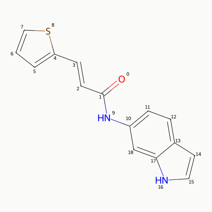 O=C(/C=C/c1cccs1)Nc1ccc2cc[nH]c2c1